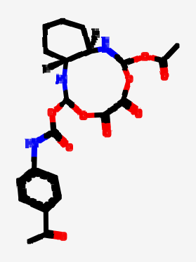 CC(=O)OC1N[C@@H]2CCCC[C@H]2N[C@H](OC(=O)Nc2ccc(C(C)=O)cc2)OC(=O)C(=O)O1